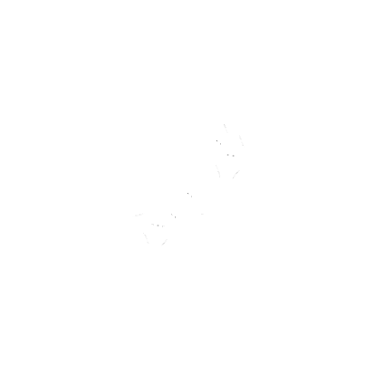 Cl.O=c1ccc2ccc(CCN3CCN(c4cccc5sc(F)cc45)CC3)cc2[nH]1